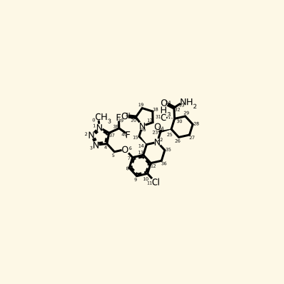 Cn1nnc(COc2ccc(Cl)c3c2[C@@H](CN2CCCC2=O)N(C(=O)[C@@H]2CCCC[C@]2(C)C(N)=O)CC3)c1C(F)F